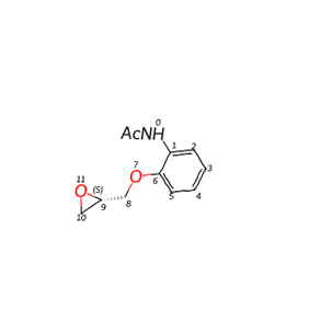 CC(=O)Nc1ccccc1OC[C@@H]1CO1